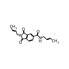 C/C=C/CNC(=O)c1ccc2c(c1)C(=O)N(C/C=C/C)C2=O